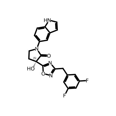 O=C1N(c2ccc3[nH]ccc3c2)CC[C@]1(O)c1nc(Cc2cc(F)cc(F)c2)no1